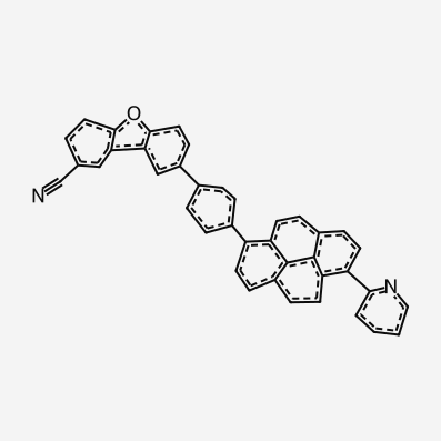 N#Cc1ccc2oc3ccc(-c4ccc(-c5ccc6ccc7c(-c8ccccn8)ccc8ccc5c6c87)cc4)cc3c2c1